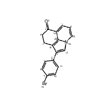 O=C1CCc2c(-c3ccc(Br)cc3)cn3cccc1c23